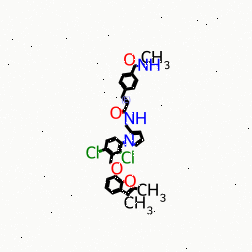 CNC(=O)c1ccc(/C=C/C(=O)NCc2cccn2-c2ccc(Cl)c(COc3cccc4c(C)c(C)oc34)c2Cl)cc1